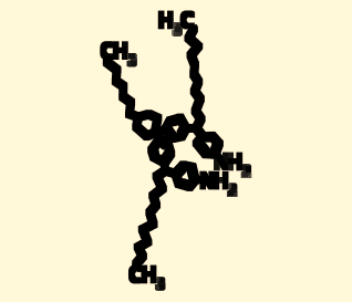 CCCCCCCCCCCCC(c1ccc(N)cc1)c1ccc(C2(c3ccc(C(CCCCCCCCCCCC)c4ccc(N)cc4)cc3)CCC(CCCCCCCC)CC2)cc1